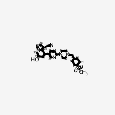 CS(=O)(=O)c1ccc(CN2CCN(c3ccc(-c4cc(O)cn5ncc(C#N)c45)cn3)CC2)cc1